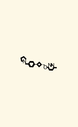 Cc1ccc(OC[C@H]2C[C@H](c3ccc(CN4CCCC4)cc3)C2)nn1